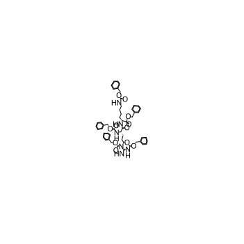 N=C(NC(=O)OCc1ccccc1)N(CCC[C@H](NC(=O)OCc1ccccc1)C(=O)N[C@@H](CCCCNC(=O)OCc1ccccc1)C(=O)OCc1ccccc1)C(=O)OCc1ccccc1